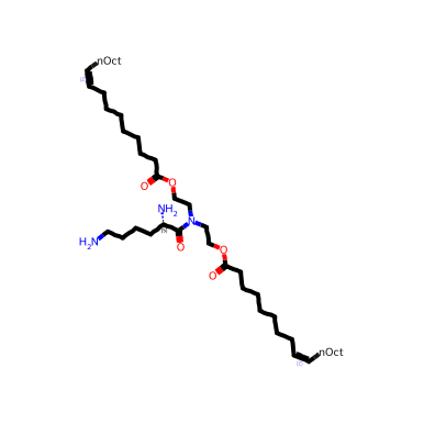 CCCCCCCC/C=C\CCCCCCCC(=O)OCCN(CCOC(=O)CCCCCCC/C=C\CCCCCCCC)C(=O)[C@@H](N)CCCCN